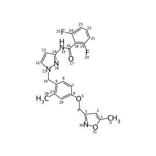 Cc1cc(COc2ccc(Cn3ccc(NC(=O)c4c(F)cccc4F)n3)c(C)c2)no1